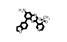 CS(=O)(=O)c1ccncc1-c1cnc2cc(N)cc(-c3ccc4c(c3)CCO4)c2n1